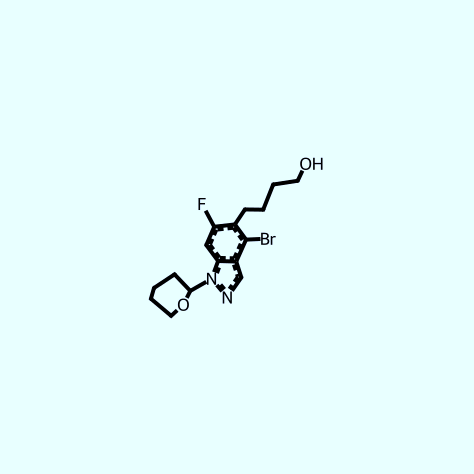 OCCCCc1c(F)cc2c(cnn2C2CCCCO2)c1Br